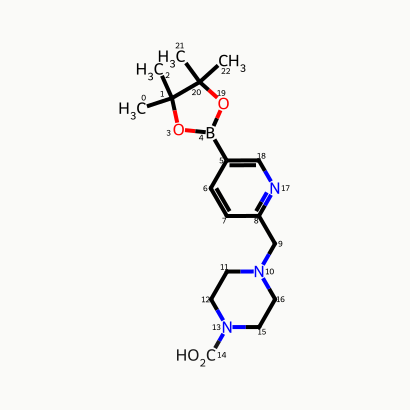 CC1(C)OB(c2ccc(CN3CCN(C(=O)O)CC3)nc2)OC1(C)C